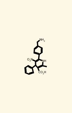 CC1=C(C(=O)O)C(c2ccccc2)C([N+](=O)[O-])=C(c2ccc(CN)cc2)N1